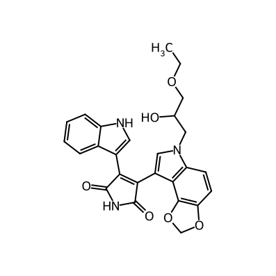 CCOCC(O)Cn1cc(C2=C(c3c[nH]c4ccccc34)C(=O)NC2=O)c2c3c(ccc21)OCO3